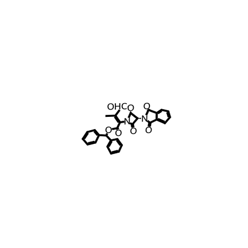 CC(C)=C(C(=O)OC(c1ccccc1)c1ccccc1)N1C(=O)[C@@H](N2C(=O)c3ccccc3C2=O)[C@H]1OC=O